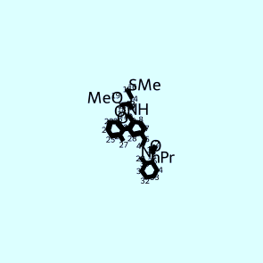 CCCC(=O)N(CCc1ccc(C(=O)N[C@@H](CCSC)C(=O)OC)c(-c2ccccc2C)c1)CC1CCCCC1